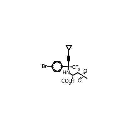 CS(=O)(=O)C[C@H](N[C@@](C#CC1CC1)(c1ccc(Br)cc1)C(F)(F)F)C(=O)O